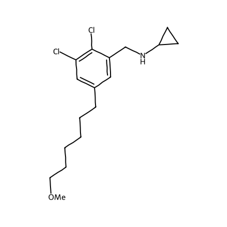 COCCCCCCc1cc(Cl)c(Cl)c(CNC2CC2)c1